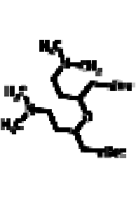 CCCCCCCCCCCC(CCN(C)C)OC(CCCCCCCCCCC)CCN(C)C